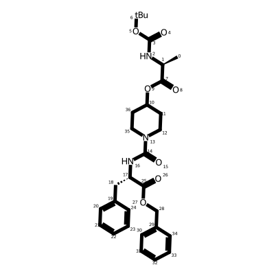 C[C@H](NC(=O)OC(C)(C)C)C(=O)OC1CCN(C(=O)N[C@@H](Cc2ccccc2)C(=O)OCc2ccccc2)CC1